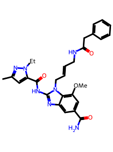 CCn1nc(C)cc1C(=O)Nc1nc2cc(C(N)=O)cc(OC)c2n1C/C=C/CNC(=O)Cc1ccccc1